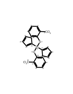 ClC(Cl)(Cl)c1ccccc1[O][Zr]([O]c1ccccc1C(Cl)(Cl)Cl)([C]1=CC=CC1)[C]1=CC=CC1